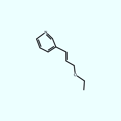 CCOC/C=C/c1cccnc1